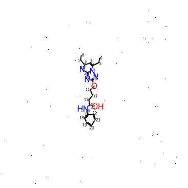 CCc1cc(CC)n2nc(OCCCC(O)Nc3ccccc3)nc2n1